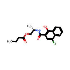 CCCC(=O)OC[C@H](C)NC(=O)c1cc(Cl)c2ccccc2c1O